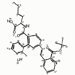 CSCCC(NC(=O)c1ccc(C=Cc2cccnc2C(=O)OC(C)(C)C)cc1-c1ccccc1C)C(=O)O.[LiH]